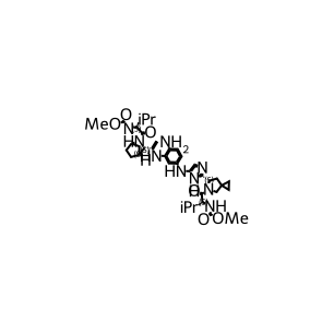 C=C(Nc1cc(Nc2cnc([C@@H]3CC4(CC4)CN3C(=O)[C@@H](NC(=O)OC)C(C)C)[nH]2)ccc1N)[C@@H]1[C@H]2CCC(C2)N1C(=O)[C@@H](NC(=O)OC)C(C)C